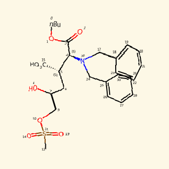 CCCCOC(=O)[C@H]([C@H](CC(O)COS(C)(=O)=O)C(=O)O)N(Cc1ccccc1)Cc1ccccc1